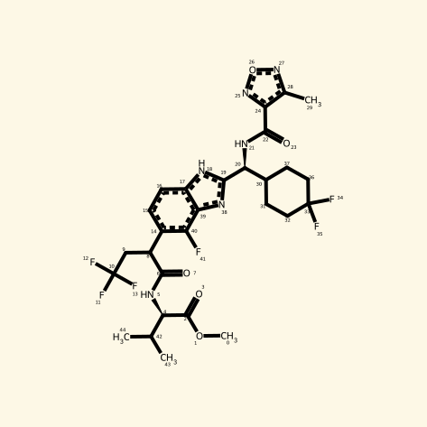 COC(=O)[C@H](NC(=O)C(CC(F)(F)F)c1ccc2[nH]c([C@@H](NC(=O)c3nonc3C)C3CCC(F)(F)CC3)nc2c1F)C(C)C